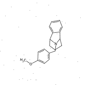 COc1ccc(CN2C3CCCC2c2ccccc23)cc1